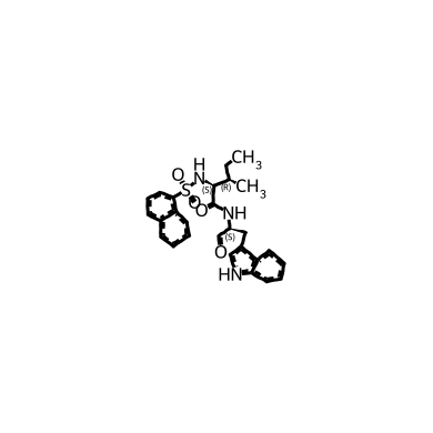 CC[C@@H](C)[C@H](NS(=O)(=O)c1cccc2ccccc12)C(=O)N[C@H](C=O)Cc1c[nH]c2ccccc12